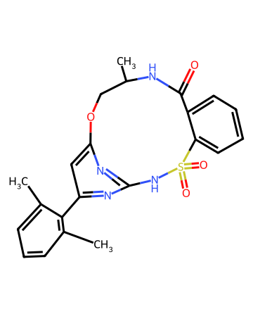 Cc1cccc(C)c1-c1cc2nc(n1)NS(=O)(=O)c1ccccc1C(=O)NC(C)CO2